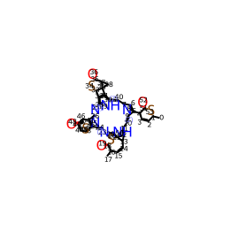 CC1C=CC(C2=CC3=NC/2=C\C2=C4C5C=CC(C)C(=O)SC45C(/N=C4N=C(/N=c5\[nH]/c(c6c5C5SC(=O)C7CC675)=C\3)C3=C\4C4C=CC3C(=O)S4)N2)C(=O)S1